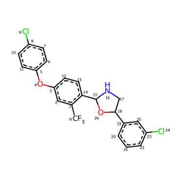 FC(F)(F)c1cc(Oc2ccc(Cl)cc2)ccc1C1NCC(c2cccc(Cl)c2)O1